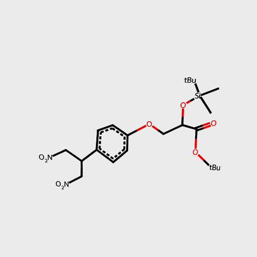 CC(C)(C)OC(=O)C(COc1ccc(C(C[N+](=O)[O-])C[N+](=O)[O-])cc1)O[Si](C)(C)C(C)(C)C